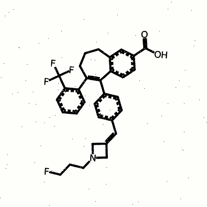 O=C(O)c1ccc2c(c1)CCCC(c1ccccc1C(F)(F)F)=C2c1ccc(C=C2CN(CCCF)C2)cc1